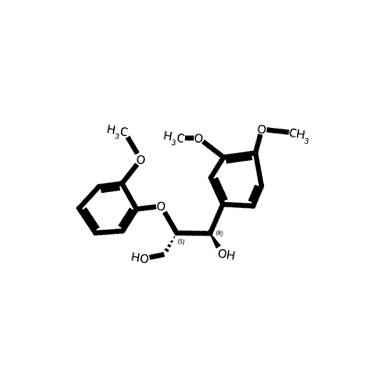 COc1ccc([C@@H](O)[C@H](CO)Oc2ccccc2OC)cc1OC